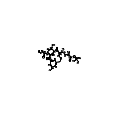 CCC[C@@H](Nc1nc(Nc2cccc(C)c2)c(C(N)=O)cc1F)[C@H](C)CNC(=O)OC(C)(C)C